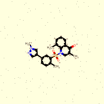 Cc1ccc(-c2cnn(C)c2)cc1S(=O)(=O)n1cc(C)c(=O)c2cccc(C)c21